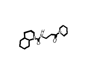 O=C(CCNC(=O)N1CCCC2CCCCC21)N1CCCCC1